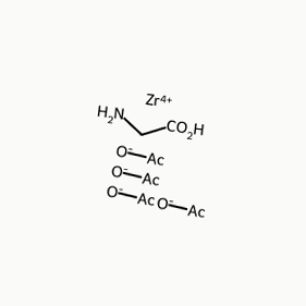 CC(=O)[O-].CC(=O)[O-].CC(=O)[O-].CC(=O)[O-].NCC(=O)O.[Zr+4]